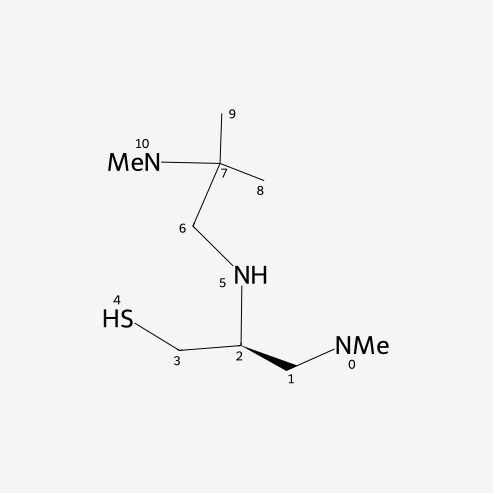 CNC[C@@H](CS)NCC(C)(C)NC